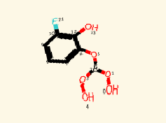 OOB(OO)Oc1cccc(F)c1O